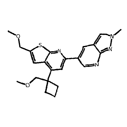 COCc1cc2c(C3(COC)CCC3)cc(-c3cnc4nn(C)cc4c3)nc2s1